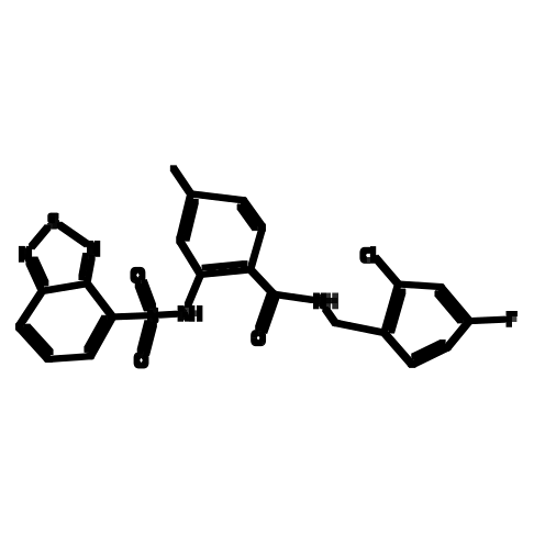 Cc1ccc(C(=O)NCc2ccc(F)cc2Cl)c(NS(=O)(=O)c2cccc3nsnc23)c1